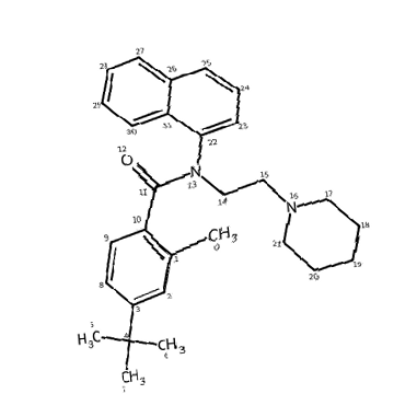 Cc1cc(C(C)(C)C)ccc1C(=O)N(CCN1CCCCC1)c1cccc2ccccc12